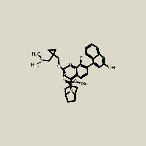 CN(C)CC1(COc2nc(N3CC4CCC(C3)N4C(=O)OC(C)(C)C)c3ccc(-c4cc(O)cc5ccccc45)c(F)c3n2)CC1